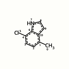 Cc1[c]cc(Cl)c2[nH]ccc12